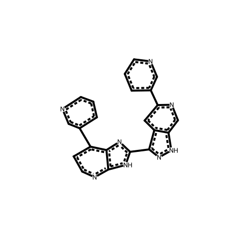 c1cncc(-c2cc3c(-c4nc5c(-c6cccnc6)ccnc5[nH]4)n[nH]c3cn2)c1